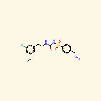 CCc1cc(F)cc(CCNC(=O)NS(=O)(=O)c2ccc(CN)cc2)c1